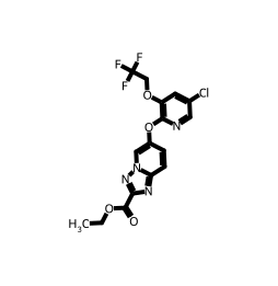 CCOC(=O)c1nc2ccc(Oc3ncc(Cl)cc3OCC(F)(F)F)cn2n1